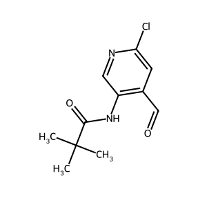 CC(C)(C)C(=O)Nc1cnc(Cl)cc1C=O